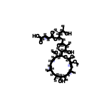 CO/C1=C/C(C)=C\[C@@H](C)[C@@H](O)[C@@H](C)C/C(C)=C\C=C/[C@H](OC)[C@@H]([C@@H](C)[C@@H](O)[C@H](C)C(=O)C[C@@H](OC(=O)/C=C/C(=O)O)[C@H](C)[C@@H](C)O)OC1=O